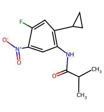 CC(C)C(=O)Nc1cc([N+](=O)[O-])c(F)cc1C1CC1